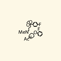 CC(=O)N1CCC(Oc2ccccc2F)CC1.CNCCCC1(c2ccc(F)cc2)OCCO1